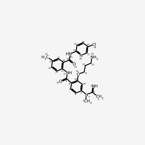 CC(=N)N(C)c1ccc(C(=O)Nc2ccc(C)cc2C(=O)Nc2ccc(Cl)cn2)c(OCCCN)c1